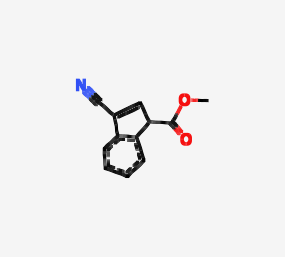 COC(=O)C1C=C(C#N)c2ccccc21